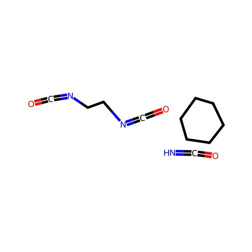 C1CCCCC1.N=C=O.O=C=NCCN=C=O